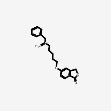 C=[N+](CCCCCOc1ccc2c(c1)COC2=O)Cc1ccccc1